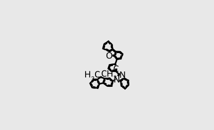 CC1(C)c2ccccc2-c2ccc(-n3c(-c4cccc(-c5cccc6c5oc5ccccc56)c4)nc4ccccc43)cc21